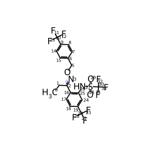 CC/C(=N\OCc1ccc(C(F)(F)F)cc1)c1ccc(C(F)(F)F)cc1NS(=O)(=O)C(F)(F)F